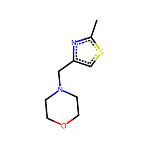 Cc1nc(CN2CCOCC2)cs1